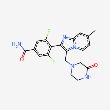 Cc1ccn2c(CN3CCNC(=O)C3)c(-c3c(F)cc(C(N)=O)cc3F)nc2c1